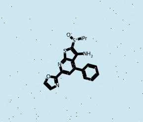 CC(C)[S+]([O-])c1sc2nc(-c3ncco3)cc(-c3ccccc3)c2c1N